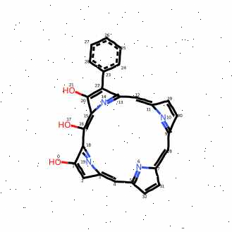 OC1=CC2=CC3=NC(=CC4=NC(=CC5=NC(=C(O)C1=N2)C(O)=C5c1ccccc1)C=C4)C=C3